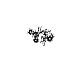 CN(CCNc1cc(N2CCCC2)nc(N2CCCC2)n1)CCN(C(N)=S)c1cccc(F)c1